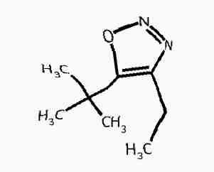 CCc1nnoc1C(C)(C)C